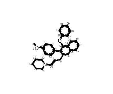 COc1ccc(-c2c(CC=CN3CCCCC3)cc3ccccc3c2Oc2ccccc2)cc1